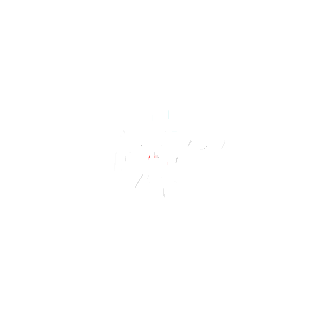 CCC(C)(C)C(CC(C)(C)C)(C(=O)OC(C)(C)C)C(F)(F)F